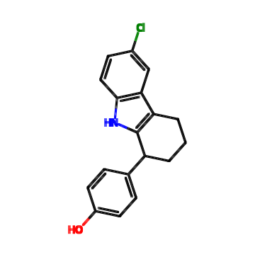 Oc1ccc(C2CCCc3c2[nH]c2ccc(Cl)cc32)cc1